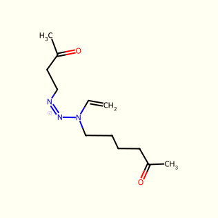 C=CN(CCCCC(C)=O)/N=N\CCC(C)=O